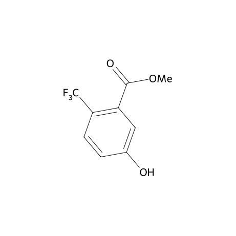 COC(=O)c1cc(O)ccc1C(F)(F)F